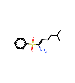 CC(C)CCC=C(N)S(=O)(=O)c1ccccc1